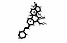 C[C@]12CCC(C=CC3CCNCC3)CC1C(CO)C(O)[C@@H]1[C@H]2CC[C@]2(C)C(=O)CC[C@@H]12